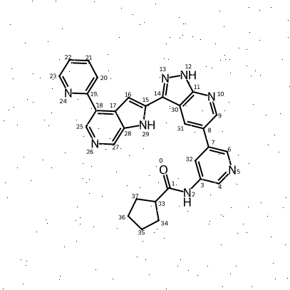 O=C(Nc1cncc(-c2cnc3[nH]nc(-c4cc5c(-c6ccccn6)cncc5[nH]4)c3c2)c1)C1CCCC1